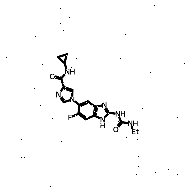 CCNC(=O)Nc1nc2cc(-n3cnc(C(=O)NC4CC4)c3)c(F)cc2[nH]1